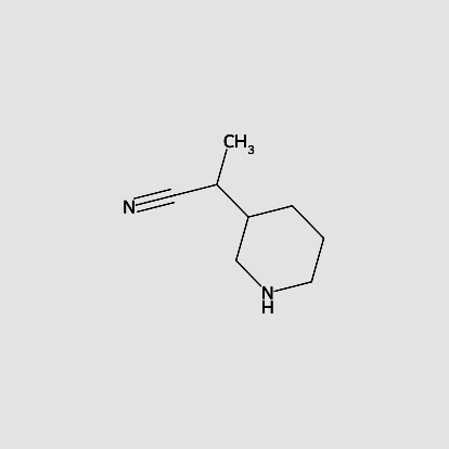 CC(C#N)C1CCCNC1